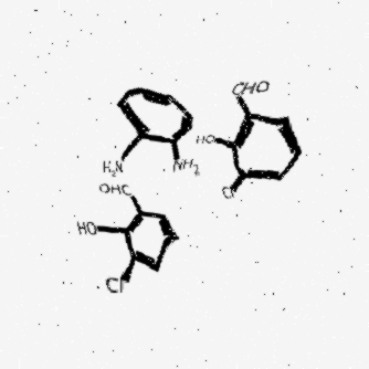 Nc1ccccc1N.O=Cc1cccc(Cl)c1O.O=Cc1cccc(Cl)c1O